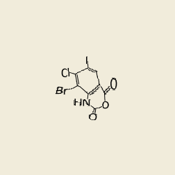 O=c1[nH]c2c(Br)c(Cl)c(I)cc2c(=O)o1